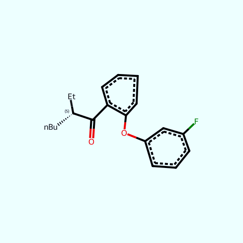 CCCC[C@H](CC)C(=O)c1ccccc1Oc1cccc(F)c1